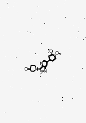 COc1ccc(-c2cnc3c(N4CCC(=O)CC4)snc3c2)cc1OC